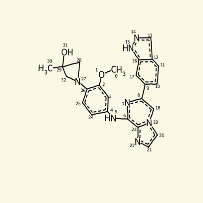 COc1cc(Nc2nc(-c3ccc4cn[nH]c4c3)cn3ccnc23)ccc1N1CC(C)(O)C1